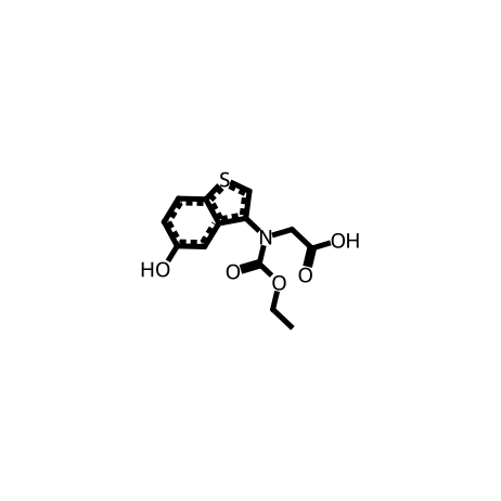 CCOC(=O)N(CC(=O)O)c1csc2ccc(O)cc12